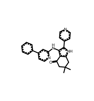 CC1(C)CC(=O)c2c([nH]c(-c3ccncc3)c2Nc2cc(-c3ccccc3)ccn2)C1